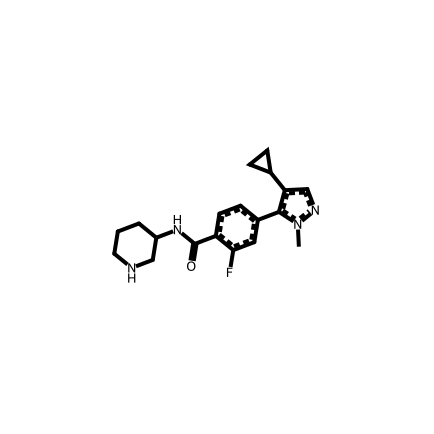 Cn1ncc(C2CC2)c1-c1ccc(C(=O)NC2CCCNC2)c(F)c1